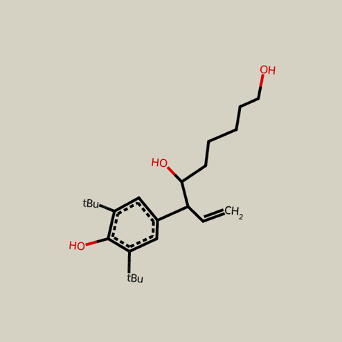 C=CC(c1cc(C(C)(C)C)c(O)c(C(C)(C)C)c1)C(O)CCCCCO